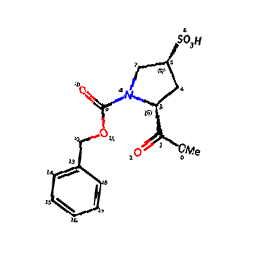 COC(=O)[C@@H]1C[C@H](S(=O)(=O)O)CN1C(=O)OCc1ccccc1